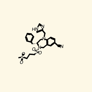 CS(=O)(=O)CCCS(=O)(=O)N1Cc2cc(C#N)ccc2N(Cc2c[nH]cn2)C[C@H]1Cc1ccccc1